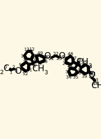 C=CCOc1ccc(C(C)(c2ccccc2)c2ccc(OCCCOc3ccc(C(C)(c4ccccc4)c4ccc(OCC=C)cc4)cc3)cc2)cc1